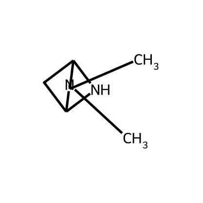 CC1C2CC(N2)N1C